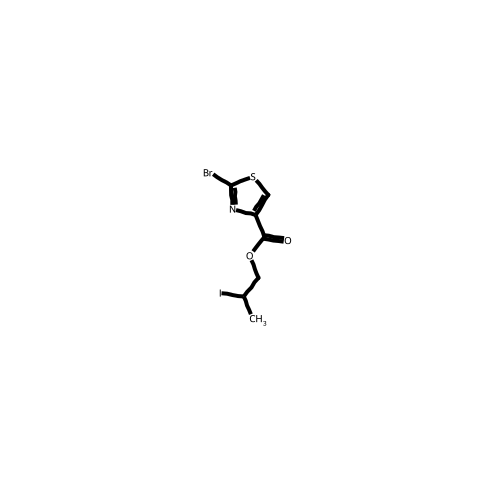 CC(I)COC(=O)c1csc(Br)n1